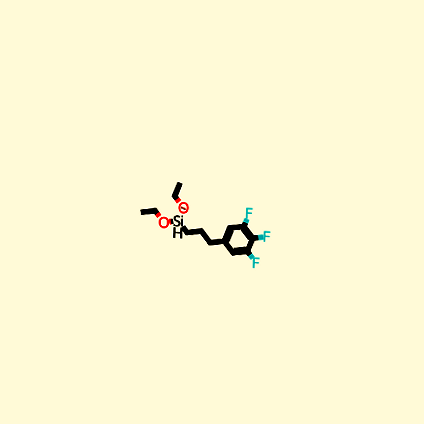 CCO[SiH](CCCc1cc(F)c(F)c(F)c1)OCC